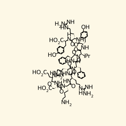 CC(C)[C@@H](NC(=O)[C@H](Cc1ccccc1)NC(=O)[C@H](Cc1ccccc1)NC(=O)[C@@H](Cc1c[nH]cn1)NC(=O)[C@@H](CCCNC(=N)N)NC(=O)[C@H](CCCCN)NC(=O)[C@H](CC(=O)O)NC(=O)[C@H](N)CCC(=O)O)C(=O)N[C@@H](Cc1ccc(O)cc1)C(=O)N[C@@H](CCCNC(=N)N)C(=O)N[C@@H](Cc1ccc(O)cc1)C(=O)O